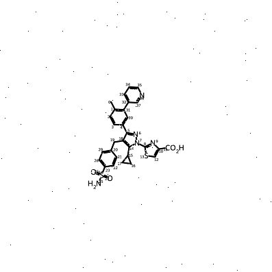 Cc1ccc(-c2nn(-c3nc(C(=O)O)cs3)c(C3CC3)c2Cc2ccc(S(N)(=O)=O)cc2)cc1-c1cccnc1